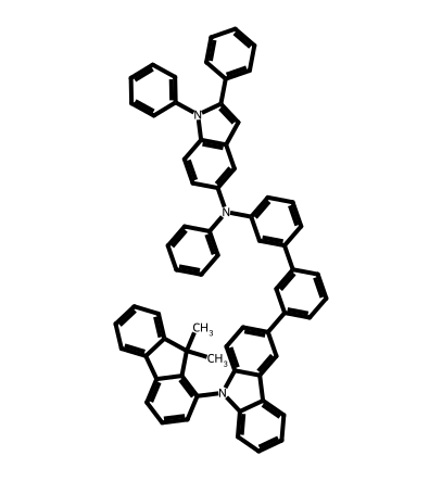 CC1(C)c2ccccc2-c2cccc(-n3c4ccccc4c4cc(-c5cccc(-c6cccc(N(c7ccccc7)c7ccc8c(c7)cc(-c7ccccc7)n8-c7ccccc7)c6)c5)ccc43)c21